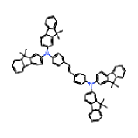 CC1(C)c2ccccc2-c2ccc(N(c3ccc(/C=C/c4ccc(N(c5ccc6c(c5)C(C)(C)c5ccccc5-6)c5ccc6c(c5)C(C)(C)c5ccccc5-6)cc4)cc3)c3ccc4c(c3)C(C)(C)c3ccccc3-4)cc21